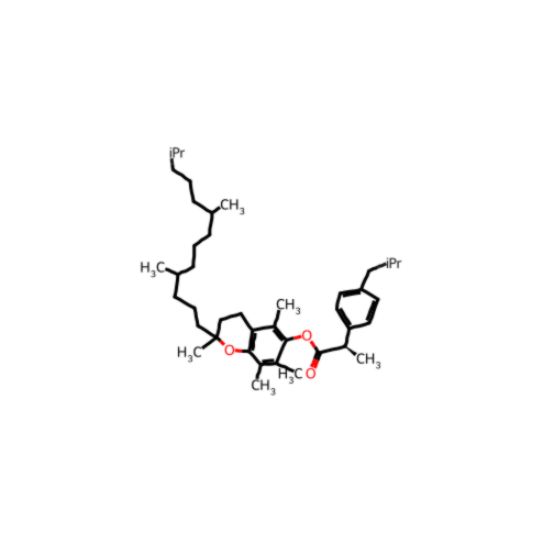 Cc1c(C)c2c(c(C)c1OC(=O)[C@H](C)c1ccc(CC(C)C)cc1)CCC(C)(CCCC(C)CCCC(C)CCCC(C)C)O2